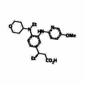 CC[C@H](CC(=O)O)c1ccc(N(CC)C2CCOCC2)c(Nc2ccc(OC)cn2)c1